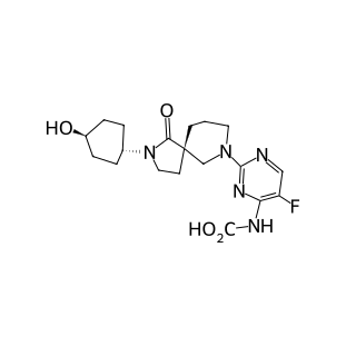 O=C(O)Nc1nc(N2CCC[C@]3(CCN([C@H]4CC[C@H](O)CC4)C3=O)C2)ncc1F